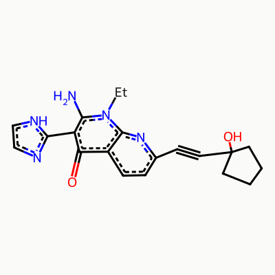 CCn1c(N)c(-c2ncc[nH]2)c(=O)c2ccc(C#CC3(O)CCCC3)nc21